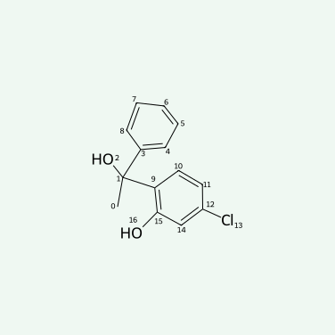 CC(O)(c1ccccc1)c1ccc(Cl)cc1O